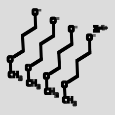 COCCC[O-].COCCC[O-].COCCC[O-].COCCC[O-].[Zr+4]